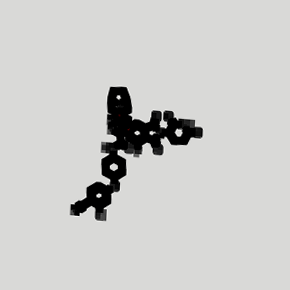 N#Cc1ccc(OC2CCC(NC(=O)c3ccc(N4C5CCC4CN(Cc4cc(F)c6c(c4)C(=O)N(C4CCC(=O)NC4=O)C6=O)C5)nn3)CC2)cc1Cl